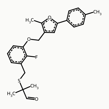 Cc1ccc(-c2cc(COc3cccc(CSC(C)(C)C=O)c3F)c(C)o2)cc1